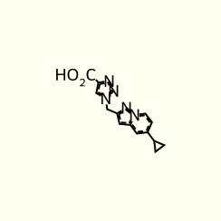 O=C(O)c1cn(Cc2cc3cc(C4CC4)ccn3n2)nn1